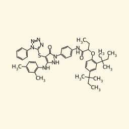 CCC(Oc1ccc(C(C)(C)CC)cc1C(C)(C)CC)C(=O)Nc1ccc(-n2[nH]c(Nc3ccc(C)cc3C)c(Sc3nnnn3-c3ccccc3)c2=O)cc1